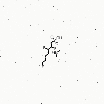 CNC.O=S(=O)(O)CC(F)C(F)CCCCF